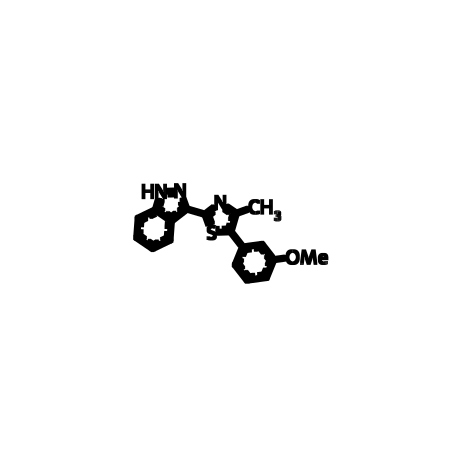 COc1cccc(-c2sc(-c3n[nH]c4ccccc34)nc2C)c1